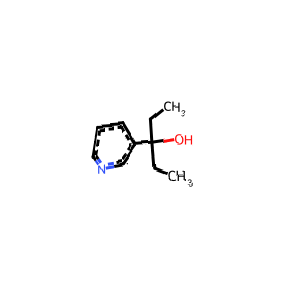 CCC(O)(CC)c1[c]nccc1